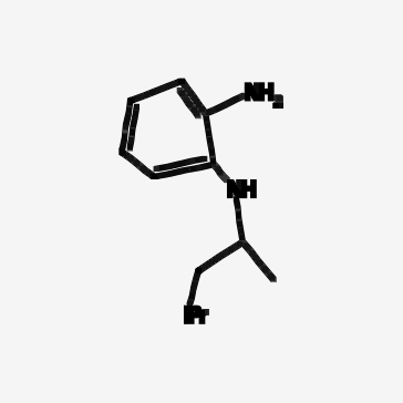 CC(C)CC(C)Nc1ccccc1N